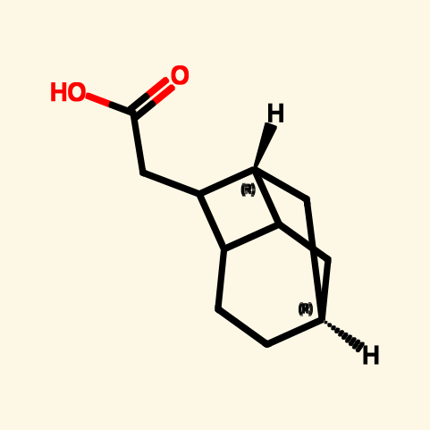 O=C(O)CC1C2CC[C@@H]3CC2[C@H]1C3